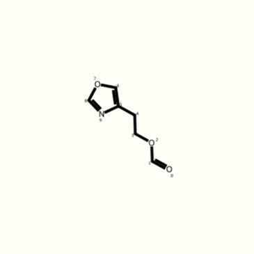 O=COCCc1cocn1